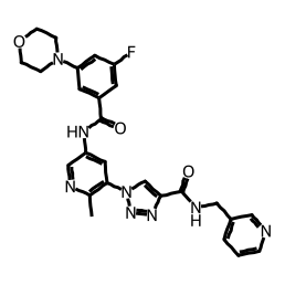 Cc1ncc(NC(=O)c2cc(F)cc(N3CCOCC3)c2)cc1-n1cc(C(=O)NCc2cccnc2)nn1